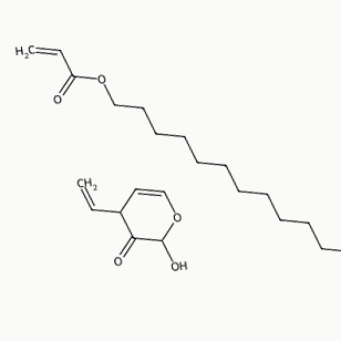 C=CC(=O)OCCCCCCCCCCCC.C=CC1C=COC(O)C1=O